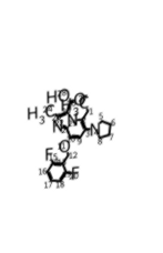 CCc1c(N2CCCC2)cc(OCc2c(F)cccc2F)c2nc(C)c(C(=O)O)n12